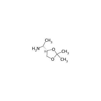 CC(N)[C@H]1COC(C)(C)O1